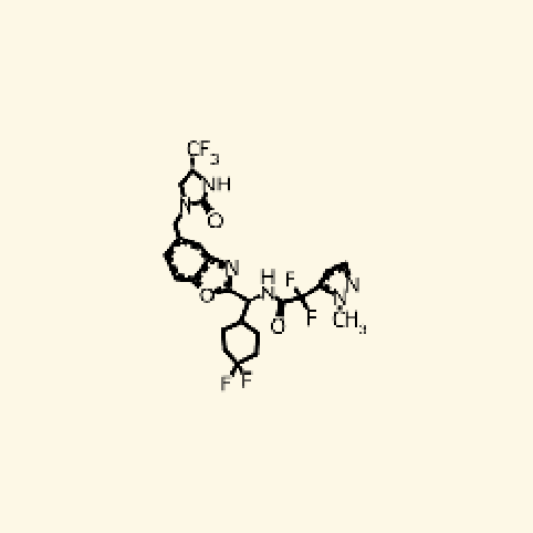 Cn1nccc1C(F)(F)C(=O)N[C@H](c1nc2cc(CN3C[C@@H](C(F)(F)F)NC3=O)ccc2o1)C1CCC(F)(F)CC1